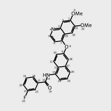 COc1cc2nccc(Oc3ccc4c(NC(=O)c5cccc(F)c5)cccc4c3)c2cc1OC